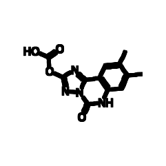 Cc1cc2[nH]c(=O)n3nc(OC(=O)O)nc3c2cc1C